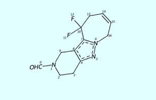 O=CN1CCc2nn3c(c2C1)C(F)(F)CC=CC3